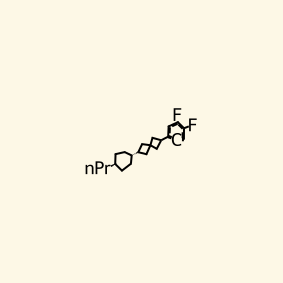 CCC[C@H]1CC[C@H](C2CC3(CC(c4ccc(F)c(F)c4)C3)C2)CC1